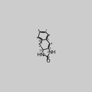 O=C1NC2=Cc3ccccc3SC2N1